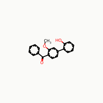 COc1cc(-c2ccccc2O)ccc1C(=O)c1ccccc1